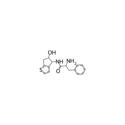 NC(Cc1ccccc1)C(=O)NC1c2ccsc2CC1O